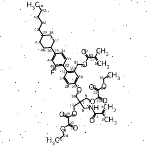 C=C(C)C(=O)NCC(COC(=O)C(=O)OCC)(COC(=O)C(=O)OCC)COc1ccc(-c2ccc(C3CCC(CCCCC)CC3)cc2F)c(COC(=O)C(=C)C)c1